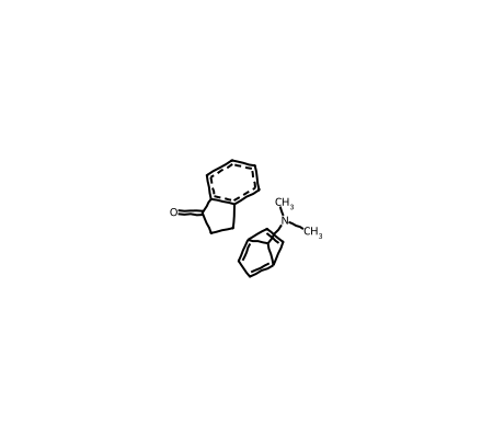 CN(C)C1C2=CC=C1C=C2.O=C1CCc2ccccc21